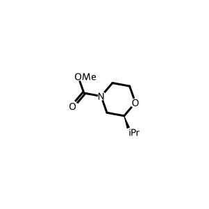 COC(=O)N1CCO[C@@H](C(C)C)C1